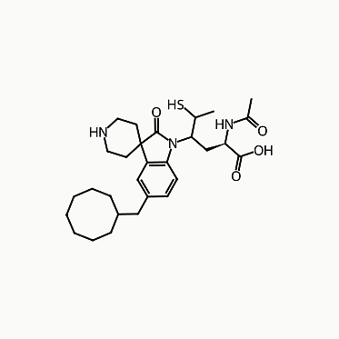 CC(=O)N[C@H](CC(C(C)S)N1C(=O)C2(CCNCC2)c2cc(CC3CCCCCCC3)ccc21)C(=O)O